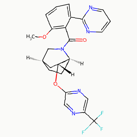 COc1cccc(-c2ncccn2)c1C(=O)N1C[C@@H]2CC[C@H]1[C@H](Oc1cnc(C(F)(F)F)cn1)C2